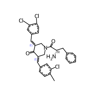 Cc1ccc(/C=C2\CN(C(=O)[C@@H](N)Cc3ccccc3)C/C(=C\c3ccc(Cl)c(Cl)c3)C2=O)cc1Cl